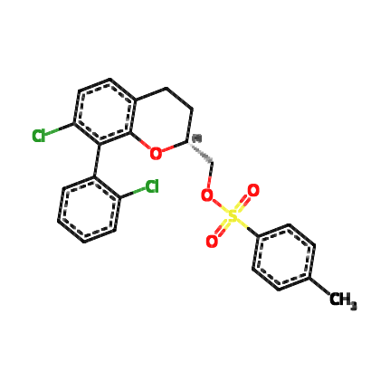 Cc1ccc(S(=O)(=O)OC[C@H]2CCc3ccc(Cl)c(-c4ccccc4Cl)c3O2)cc1